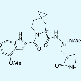 CN[C@H](C[C@@H]1CCNC1=O)NC(=O)[C@@H]1CC2(CCN1C(=O)c1cc3c(OC)cccc3[nH]1)CC2